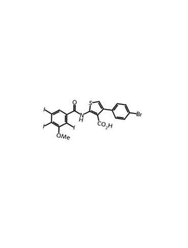 COc1c(I)c(I)cc(C(=O)Nc2scc(-c3ccc(Br)cc3)c2C(=O)O)c1I